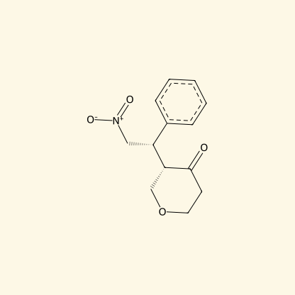 O=C1CCOC[C@@H]1[C@H](C[N+](=O)[O-])c1ccccc1